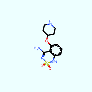 NC1=NS(=O)(=O)Nc2cccc(OC3CCNCC3)c21